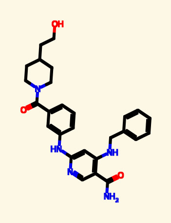 NC(=O)c1cnc(Nc2cccc(C(=O)N3CCC(CCO)CC3)c2)cc1NCc1ccccc1